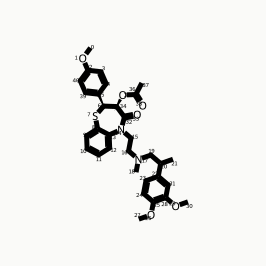 COc1ccc([C@@H]2Sc3ccccc3N(CCN(C)CC(C)c3ccc(OC)c(OC)c3)C(=O)[C@@H]2OC(C)=O)cc1